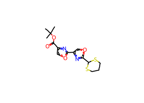 CC(C)(C)OC(=O)c1coc(-c2coc(C3SCCCS3)n2)n1